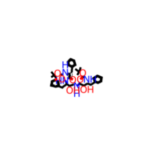 CC(C)(C)OC(=O)NC(Cc1ccccc1)C(O)CNCC(O)C(Cc1ccccc1)NC(=O)[C@H](Cc1ccccc1)NC(=O)OC(C)(C)C